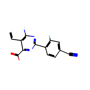 C=Cc1c(N)nc(-c2ccc(C#N)cc2F)nc1C(=O)O